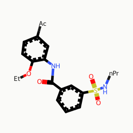 CCCNS(=O)(=O)c1cccc(C(=O)Nc2cc(C(C)=O)ccc2OCC)c1